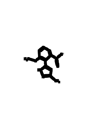 COc1cccc([N+](=O)[O-])c1-c1cc(C)n[nH]1